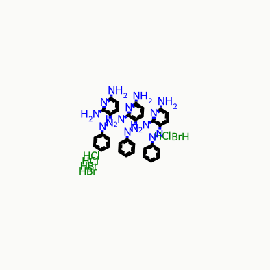 Br.Br.Br.Cl.Cl.Cl.Nc1ccc(/N=N/c2ccccc2)c(N)n1.Nc1ccc(/N=N/c2ccccc2)c(N)n1.Nc1ccc(/N=N/c2ccccc2)c(N)n1